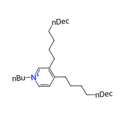 CCCCCCCCCCCCCCc1cc[n+](CCCC)cc1CCCCCCCCCCCCCC